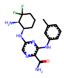 Cc1cccc(Nc2nc(N[C@@H]3CCCC(F)(F)[C@@H]3N)cnc2C(N)=O)c1